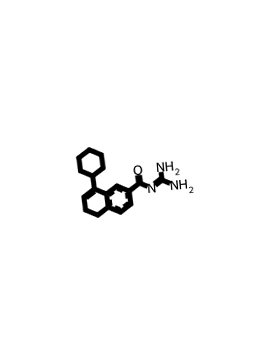 NC(N)=NC(=O)c1ccc2c(c1)C(C1CCCCC1)=CCC2